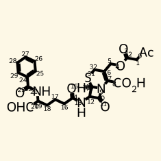 CC(=O)CC(=O)OCC1=C(C(=O)O)N2C(=O)C(NC(=O)CCCC(C=O)NC(=O)c3ccccc3)[C@@H]2SC1